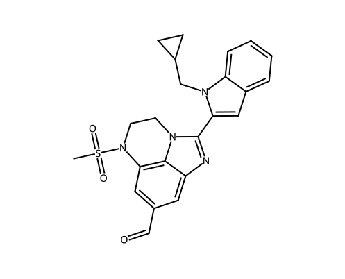 CS(=O)(=O)N1CCn2c(-c3cc4ccccc4n3CC3CC3)nc3cc(C=O)cc1c32